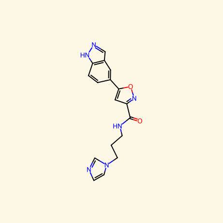 O=C(NCCCn1ccnc1)c1cc(-c2ccc3[nH]ncc3c2)on1